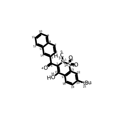 CN1C(C(=O)c2ccc3ccccc3c2)=C(O)c2ccc(C(C)(C)C)cc2S1(=O)=O